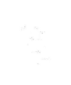 CC(=O)N1CCn2c(Br)nnc2C1